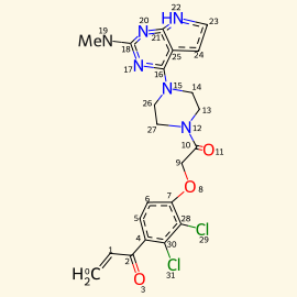 C=CC(=O)c1ccc(OCC(=O)N2CCN(c3nc(NC)nc4[nH]ccc34)CC2)c(Cl)c1Cl